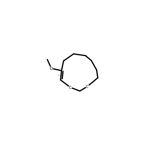 CO/C1=C/CCCCCCCCC1